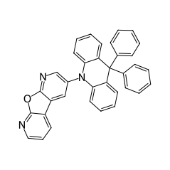 c1ccc(C2(c3ccccc3)c3ccccc3N(c3cnc4oc5ncccc5c4c3)c3ccccc32)cc1